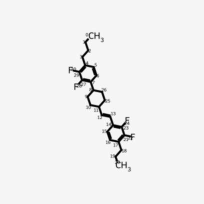 CCCCc1ccc(C2CCC(/C=C/c3ccc(CCC)c(F)c3F)CC2)c(F)c1F